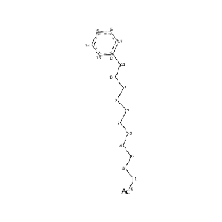 CC(=O)CCCCCCCCCCCc1ccccc1